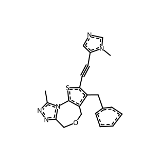 Cc1nnc2n1-c1sc(C#Cc3cncn3C)c(Cc3ccccc3)c1COC2